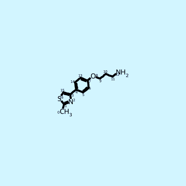 Cc1nc(-c2ccc(OCCCN)cc2)cs1